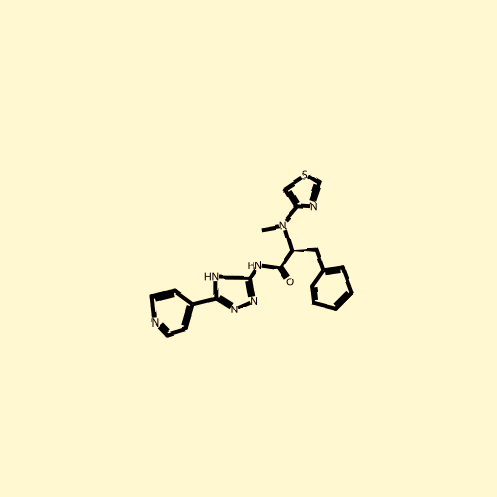 CN(c1cscn1)[C@@H](Cc1ccccc1)C(=O)Nc1nnc(-c2ccncc2)[nH]1